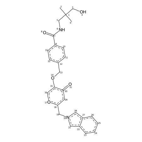 CC(C)(CO)CNC(=O)c1ccc(COc2coc(Cn3cc4ccccc4c3)cc2=O)cc1